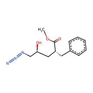 COC(=O)[C@H](Cc1ccccc1)C[C@H](O)CN=[N+]=[N-]